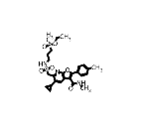 CCOP(C)(=O)CCCNS(=O)(=O)Cc1nc2oc(-c3ccc(C)cc3)c(C(=O)NC)c2cc1C1CC1